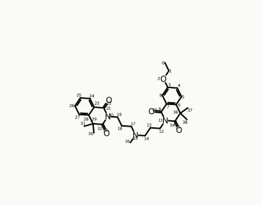 CCOc1ccc2c(c1)C(=O)N(CCCN(C)CCCN1C(=O)c3ccccc3C(C)(C)C1=O)C(=O)C2(C)C